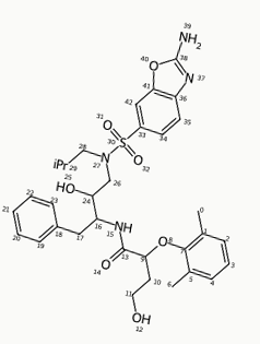 Cc1cccc(C)c1OC(CCO)C(=O)NC(Cc1ccccc1)C(O)CN(CC(C)C)S(=O)(=O)c1ccc2nc(N)oc2c1